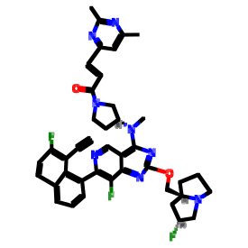 C#Cc1c(F)ccc2cccc(-c3ncc4c(N(C)[C@@H]5CCN(C(=O)C=Cc6cc(C)nc(C)n6)C5)nc(OC[C@@]56CCCN5C[C@H](F)C6)nc4c3F)c12